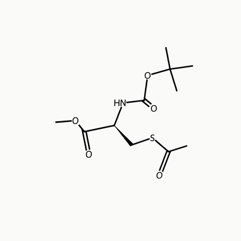 COC(=O)[C@H](CSC(C)=O)NC(=O)OC(C)(C)C